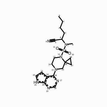 CCCCC(C#N)N(C)S(=O)(=O)N1CCN(c2ncnc3[nH]ccc23)CC12CC2